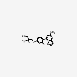 CC(C)CC(C)(N)COc1ccc(-c2cc(N)nc3ccnn23)c(F)c1